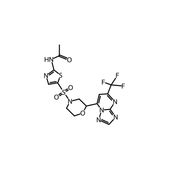 CC(=O)Nc1ncc(S(=O)(=O)N2CCOC(c3cc(C(F)(F)F)nc4ncnn34)C2)s1